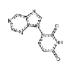 O=c1ccn(-n2cnc3cncnc32)c(=O)[nH]1